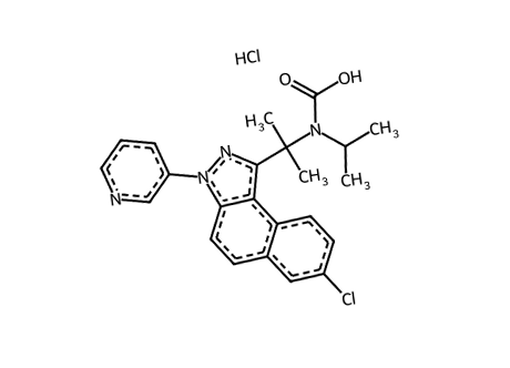 CC(C)N(C(=O)O)C(C)(C)c1nn(-c2cccnc2)c2ccc3cc(Cl)ccc3c12.Cl